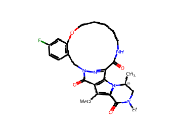 CCN1C[C@H](C)n2c(c(OC)c3c(=O)n4nc(c32)C(=O)NCCCCCOc2cc(F)ccc2C4)C1=O